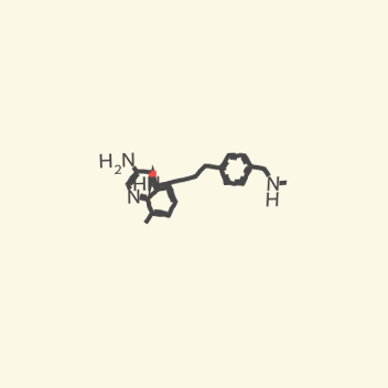 CNCc1ccc(CCC2=CC=C3C(N)=CN=C4C(C)=CC=CC34N2)cc1